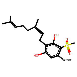 CCCCCc1cc(O)c(CC=C(C)CCC=C(C)C)c(O)c1S(C)(=O)=O